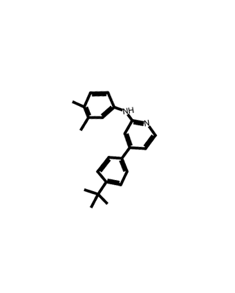 Cc1ccc(Nc2cc(-c3ccc(C(C)(C)C)cc3)ccn2)cc1C